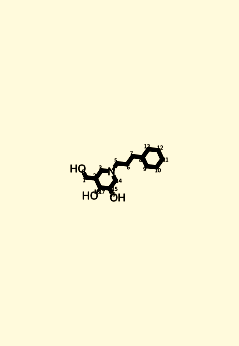 OCC1CN(CCCC2CCCCC2)CC(O)[C@@H]1O